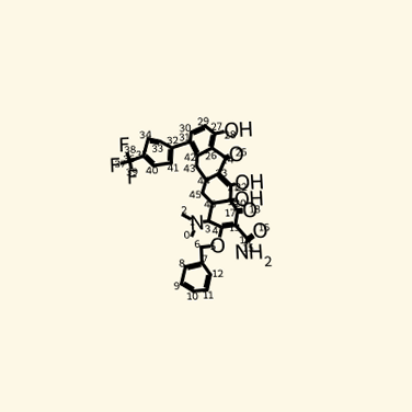 CN(C)C1C(OCc2ccccc2)=C(C(N)=O)C(=O)C2(O)C(O)=C3C(=O)c4c(O)ccc(-c5ccc(C(F)(F)F)cc5)c4CC3CC12